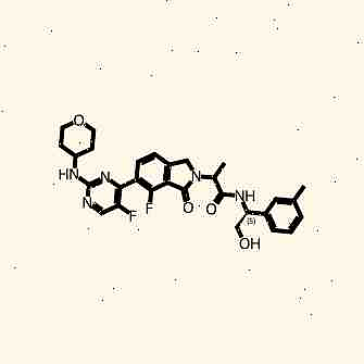 Cc1cccc([C@@H](CO)NC(=O)C(C)N2Cc3ccc(-c4nc(NC5CCOCC5)ncc4F)c(F)c3C2=O)c1